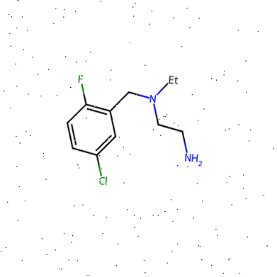 CCN(CCN)Cc1cc(Cl)ccc1F